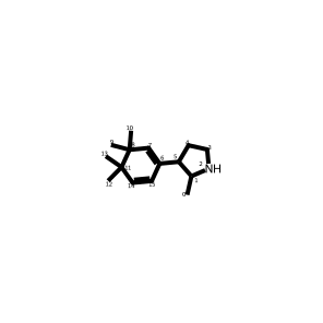 CC1NCCC1C1=CC(C)(C)C(C)(C)C=C1